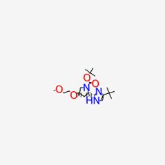 COCCO[C@@H]1C[C@@H](c2nc(C(C)(C)C)c[nH]2)N(C(=O)OC(C)(C)C)C1